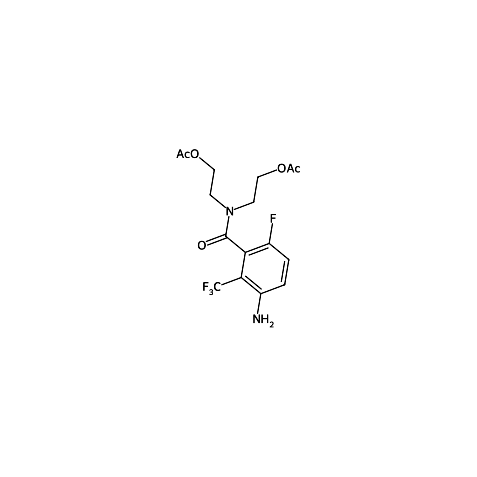 CC(=O)OCCN(CCOC(C)=O)C(=O)c1c(F)ccc(N)c1C(F)(F)F